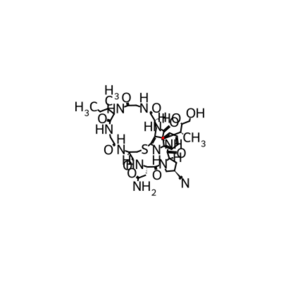 CC[C@H](C)[C@@H]1NC(=O)CNC(=O)[C@@H]2Cc3c([nH]c4ccccc34)SC[C@H](NC(=O)CNC1=O)C(=O)N[C@@H](CC(N)=O)C(=O)N1C[C@H](C#N)C[C@H]1C(=O)N[C@@H]([C@@H](C)[C@@H](O)CO)C(=O)N2